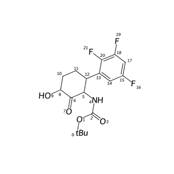 CC(C)(C)OC(=O)NC1C(=O)C(O)CCC1c1cc(F)cc(F)c1F